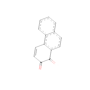 O=C1C=Cc2c(ccc3ccccc23)C1=O.[Li]